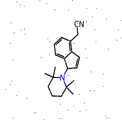 CC1(C)CCCC(C)(C)N1C1C=Cc2c(CC#N)cccc21